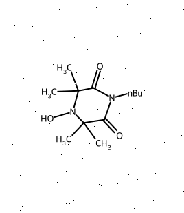 CCCCN1C(=O)C(C)(C)N(O)C(C)(C)C1=O